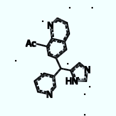 CC(=O)c1cc(C(c2cccnc2)c2cnc[nH]2)cc2cccnc12